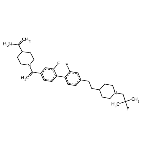 C=C(N)C1CCN(C(=C)c2ccc(-c3ccc(CCC4CCN(CC(C)(C)F)CC4)cc3F)c(F)c2)CC1